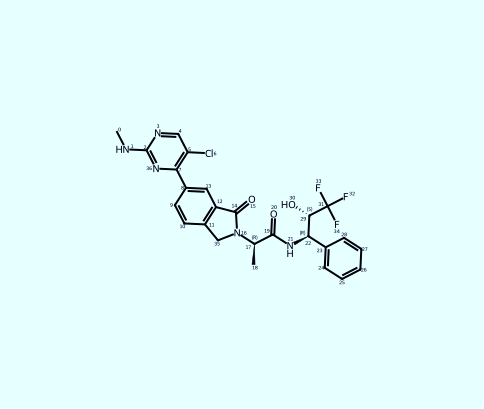 CNc1ncc(Cl)c(-c2ccc3c(c2)C(=O)N([C@H](C)C(=O)N[C@H](c2ccccc2)[C@H](O)C(F)(F)F)C3)n1